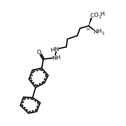 N[C@@H](CCCCNNC(=O)c1ccc(-c2ccccc2)cc1)C(=O)O